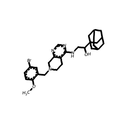 COc1ccc(Br)cc1CN1CCc2c(ncnc2NCC(O)C23CC4CC(CC(C4)C2)C3)C1